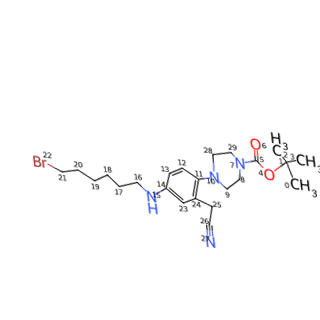 CC(C)(C)OC(=O)N1CCN(c2ccc(NCCCCCCBr)cc2CC#N)CC1